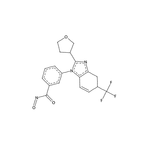 O=NC(=O)c1cccc(-n2c(C3CCOC3)nc3c2C=CC(C(F)(F)F)C3)c1